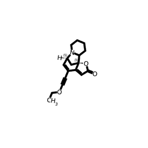 CCOC#CC1=C[C@@H]2C[C@@]3(OC(=O)C=C13)C1CCCCN12